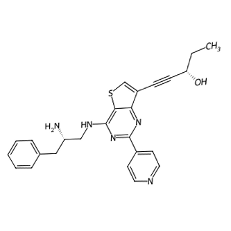 CC[C@H](O)C#Cc1csc2c(NC[C@@H](N)Cc3ccccc3)nc(-c3ccncc3)nc12